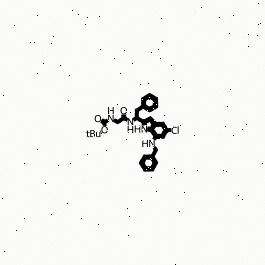 CC(C)(C)OC(=O)NCC(=O)NC(Cc1ccccc1)c1cc2cc(Cl)cc(NCc3ccccc3)c2[nH]1